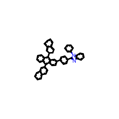 C1=c2ccccc2=CC(c2c3ccccc3c(-c3ccc4ccccc4c3)c3ccc(-c4ccc(-c5nc6ccccc6n5-c5ccccc5)cc4)cc23)C1